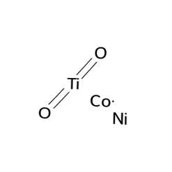 [Co].[Ni].[O]=[Ti]=[O]